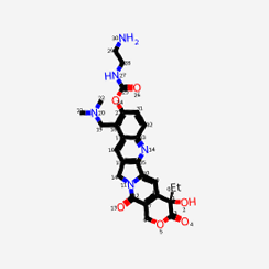 CC[C@@]1(O)C(=O)OCc2c1cc1n(c2=O)Cc2cc3c(CN(C)C)c(OC(=O)NCCN)ccc3nc2-1